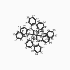 NC(CP(c1ccccc1)c1ccccc1)(CP(c1ccccc1)c1ccccc1)C(N)(CP(c1ccccc1)c1ccccc1)CP(c1ccccc1)c1ccccc1